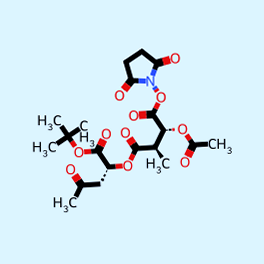 CC(=O)C[C@@H](OC(=O)[C@H](C)[C@@H](OC(C)=O)C(=O)ON1C(=O)CCC1=O)C(=O)OC(C)(C)C